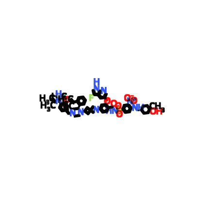 COc1cc(CN2CCN(C3CC4(C3)CN(c3ccc(C(=O)NS(=O)(=O)c5ccc(NC[C@H]6CC[C@](C)(O)CC6)c([N+](=O)[O-])c5)c(Oc5cnc6[nH]cc(F)c6c5)c3)C4)[C@H](c3ccccc3C(C)C)C2)ccc1NC(C)C